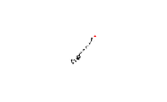 CC1OC2Oc3ccc(CC(=O)NCCOCCOCCNC(=O)OC(C)(C)C)cc3SC2C(O)C1O